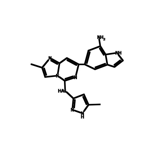 Cc1cn2c([AsH]c3cc(C)[nH]n3)nc(-c3cc(N)c4[nH]ccc4c3)cc2n1